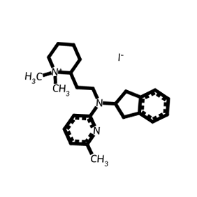 Cc1cccc(N(CCC2CCCC[N+]2(C)C)C2Cc3ccccc3C2)n1.[I-]